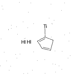 I.I.[Ti][C]1=CC=CC1